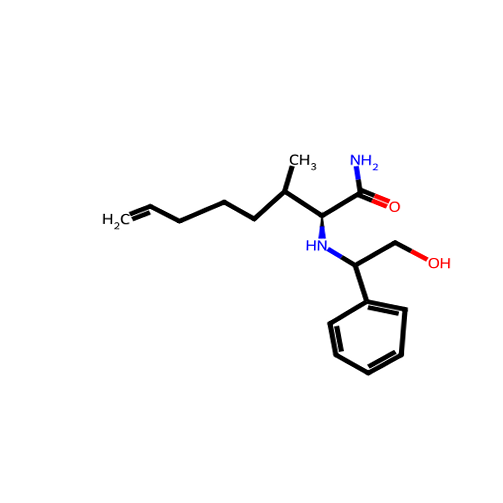 C=CCCCC(C)[C@H](NC(CO)c1ccccc1)C(N)=O